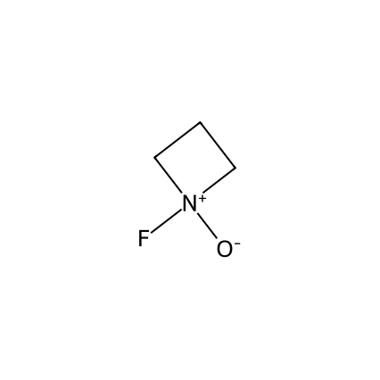 [O-][N+]1(F)CCC1